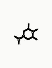 CC1CN(N(C)C)CC(C)N1C